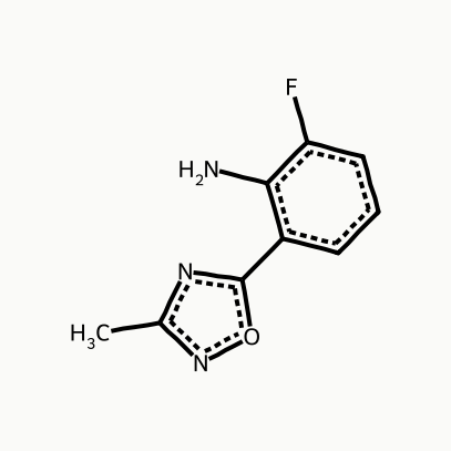 Cc1noc(-c2cccc(F)c2N)n1